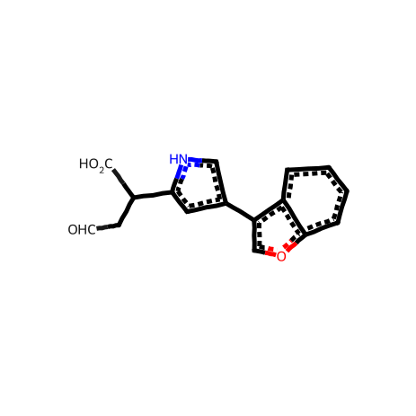 O=CCC(C(=O)O)c1cc(-c2coc3ccccc23)c[nH]1